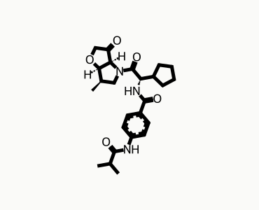 CC(C)C(=O)Nc1ccc(C(=O)N[C@H](C(=O)N2C[C@@H](C)[C@H]3OCC(=O)[C@H]32)C2CCCC2)cc1